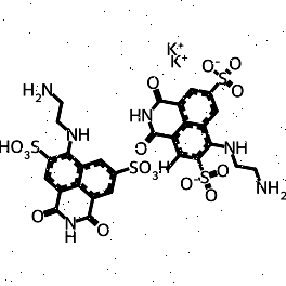 Cc1c(S(=O)(=O)[O-])c(NCCN)c2cc(S(=O)(=O)[O-])cc3c2c1C(=O)NC3=O.NCCNc1c(S(=O)(=O)O)cc2c3c(cc(S(=O)(=O)O)cc13)C(=O)NC2=O.[K+].[K+]